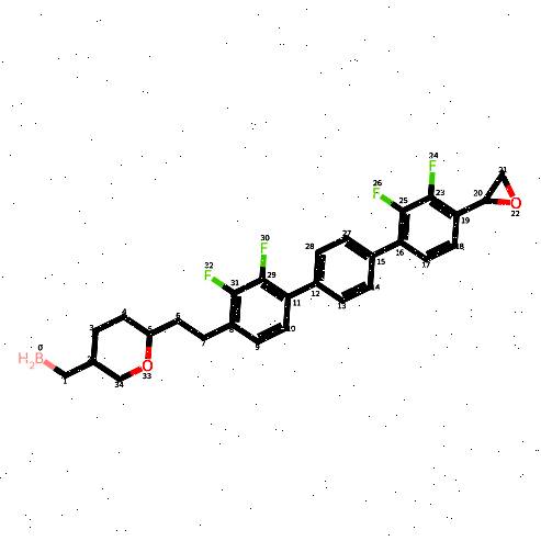 BCC1CCC(CCc2ccc(-c3ccc(-c4ccc(C5CO5)c(F)c4F)cc3)c(F)c2F)OC1